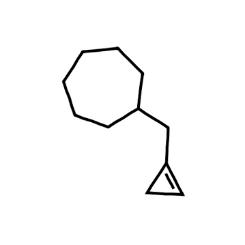 C1=C(CC2CCCCCC2)C1